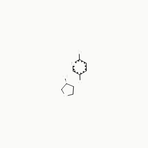 O[C@@H]1COC[C@H]1Oc1ccc(Br)nc1